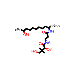 CCCCCCCCCC(CCCCCCCC(O)CCC)NC(=O)CCNC(=O)C(O)C(C)(C)CO